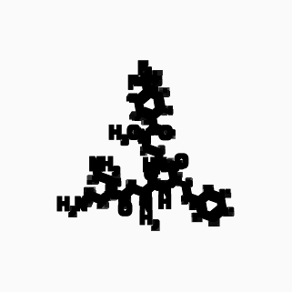 CN(CCNC(=O)[C@H](CCc1ccccc1)NC(=O)[C@@H](N)CC(=O)N(CCN)CCN)C(=O)c1ccc(C(F)(F)F)cc1